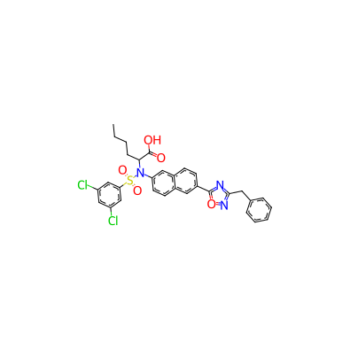 CCCCC(C(=O)O)N(c1ccc2cc(-c3nc(Cc4ccccc4)no3)ccc2c1)S(=O)(=O)c1cc(Cl)cc(Cl)c1